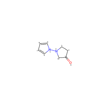 O=C1CCN(n2cccc2)C1